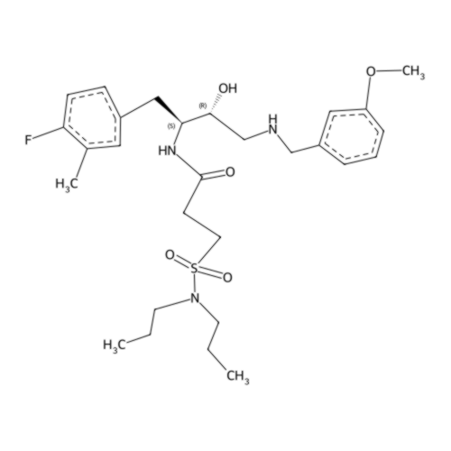 CCCN(CCC)S(=O)(=O)CCC(=O)N[C@@H](Cc1ccc(F)c(C)c1)[C@H](O)CNCc1cccc(OC)c1